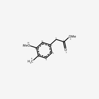 COC(=O)Cc1ccc(C)c(OC)c1